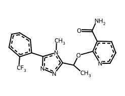 CC(Oc1ncccc1C(N)=O)c1nnc(-c2ccccc2C(F)(F)F)n1C